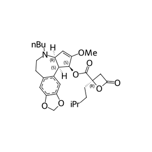 CCCCN1CCc2cc3c(cc2[C@@H]2[C@H](OC(=O)[C@@]4(CCC(C)C)CC(=O)O4)C(OC)=C[C@@H]21)OCO3